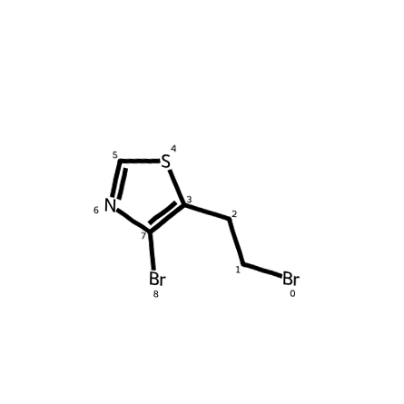 BrCCc1scnc1Br